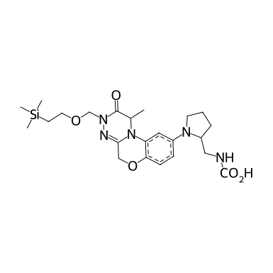 CC1C(=O)N(COCC[Si](C)(C)C)N=C2COc3ccc(N4CCCC4CNC(=O)O)cc3N21